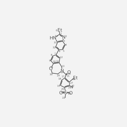 CCc1nc2ccc(-c3ccc4c(c3)CN(C(=O)c3ccc(S(C)(=O)=O)c(F)c3CC)CCO4)cc2[nH]1